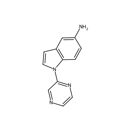 Nc1ccc2c(ccn2-c2cnccn2)c1